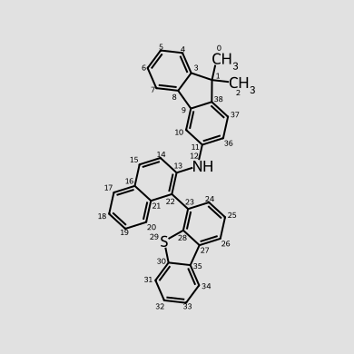 CC1(C)c2ccccc2-c2cc(Nc3ccc4ccccc4c3-c3cccc4c3sc3ccccc34)ccc21